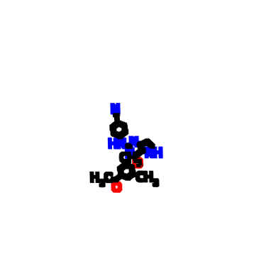 CC(=O)c1cc(C)c(Oc2nc(Nc3ccc(C#N)cc3)nc3cc[nH]c23)c(C)c1